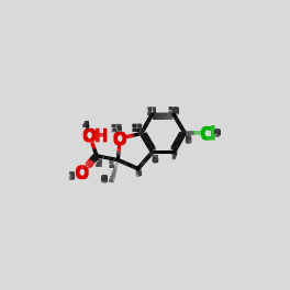 C[C@@]1(C(=O)O)Cc2cc(Cl)ccc2O1